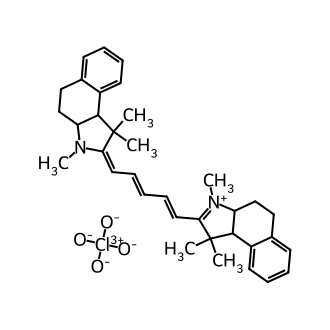 CN1/C(=C/C=C/C=C/C2=[N+](C)C3CCc4ccccc4C3C2(C)C)C(C)(C)C2c3ccccc3CCC21.[O-][Cl+3]([O-])([O-])[O-]